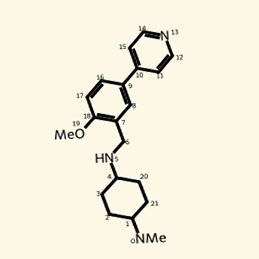 CNC1CCC(NCc2cc(-c3ccncc3)ccc2OC)CC1